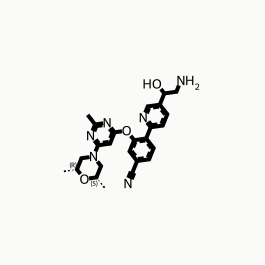 Cc1nc(Oc2cc(C#N)ccc2-c2ccc(C(O)CN)cn2)cc(N2C[C@@H](C)O[C@@H](C)C2)n1